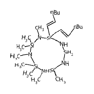 CCCCC=C[Si]1(C=CCCCC)N[SiH2]N[SiH](C)N(C)[Si](C)(C)N(C)[Si](C)(C)N1C